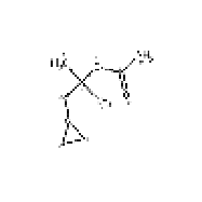 CC(C)(CC1CC1)OC(N)=O